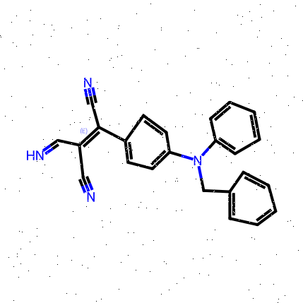 N#C/C(C=N)=C(/C#N)c1ccc(N(Cc2ccccc2)c2ccccc2)cc1